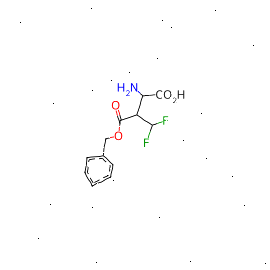 NC(C(=O)O)C(C(=O)OCc1ccccc1)C(F)F